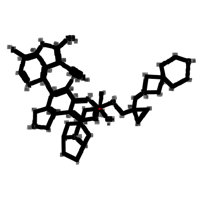 C[C@@H](O)CN1CC2CCC(C1)N2c1nc(OCC2(CN3CC4(CCOCC4)C3)CC2)nc2c(F)c(-c3ncc(F)c4sc(N)c(C#N)c34)c3c(c12)COC3